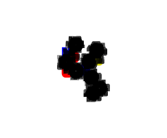 c1ccc(-c2nc3ccc4oc5ccc(N(c6ccc(-c7cccc8ccccc78)cc6)c6ccc7c(c6)sc6ccccc67)cc5c4c3o2)cc1